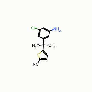 CC(C)(c1cc(N)cc(Cl)c1)c1ccc(C#N)s1